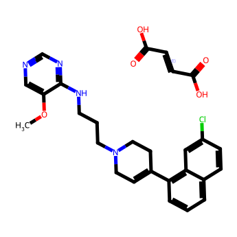 COc1cncnc1NCCCN1CC=C(c2cccc3ccc(Cl)cc23)CC1.O=C(O)/C=C/C(=O)O